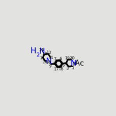 CC(=O)N1CCC(c2ccc(CN3CCC(N)CC3)cc2)CC1